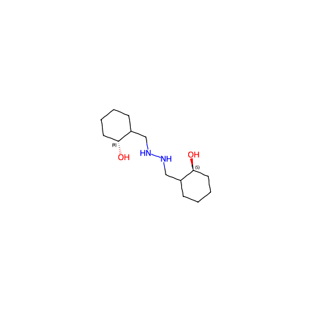 O[C@@H]1CCCCC1CNNCC1CCCC[C@@H]1O